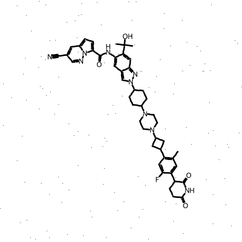 Cc1cc(C2CCC(=O)NC2=O)c(F)cc1C1CC(N2CCN(C3CCC(n4cc5cc(NC(=O)c6ccc7cc(C#N)cnn67)c(C(C)(C)O)cc5n4)CC3)CC2)C1